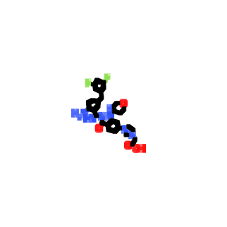 N=C(NC(=O)c1ccc(N2CCN(CC(=O)O)C2)cc1NC1CCOCC1)c1cc(Cc2cc(F)cc(F)c2)ccc1N